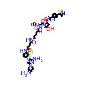 Cc1ncsc1-c1ccc([C@H](C)NC(=O)[C@@H]2C[C@@H](O)CN2C(=O)[C@@H](NC(=O)CCCCCNC(=O)CCCC(=O)Nc2cccc(Sc3ncc(N4CCC(C)(N)CC4)nc3N)c2Cl)C(C)(C)C)cc1